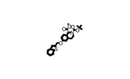 COC(=O)[C@H]1c2ccc(OCc3cc4ccccc4s3)cc2CCN1C(=O)OC(C)(C)C